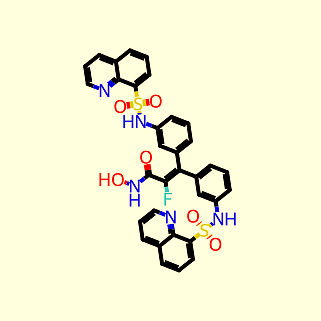 O=C(NO)C(F)=C(c1cccc(NS(=O)(=O)c2cccc3cccnc23)c1)c1cccc(NS(=O)(=O)c2cccc3cccnc23)c1